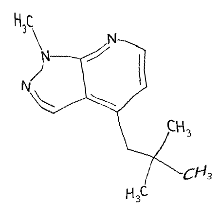 Cn1ncc2c(CC(C)(C)C)ccnc21